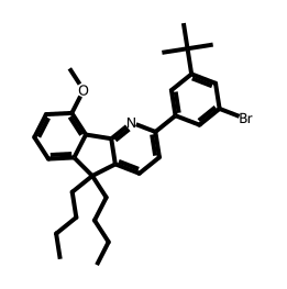 CCCCC1(CCCC)c2ccc(-c3cc(Br)cc(C(C)(C)C)c3)nc2-c2c(OC)cccc21